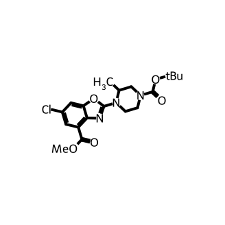 COC(=O)c1cc(Cl)cc2oc(N3CCN(C(=O)OC(C)(C)C)CC3C)nc12